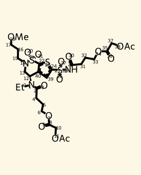 CCN(C(=O)CCCOC(=O)COC(C)=O)[C@H]1CN(CCCOC)S(=O)(=O)c2sc(S(=O)(=O)NC(=O)CCCOC(=O)COC(C)=O)cc21